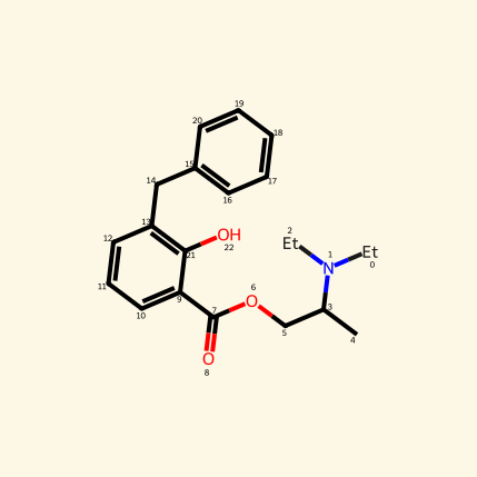 CCN(CC)C(C)COC(=O)c1cccc(Cc2ccccc2)c1O